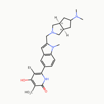 CCc1c(-c2ccc3c(c2)cc(CN2C[C@H]4CC(N(C)C)C[C@H]4C2)n3C)[nH]c(=O)c(C(=O)O)c1O